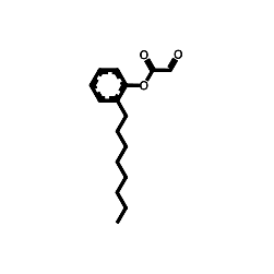 CCCCCCCCc1ccccc1OC(=O)C=O